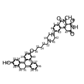 CN(C(=O)c1ccc(N2CCN(CCCCCOc3ccc([C@@H]4c5ccc(O)cc5CC[C@@H]4c4ccccc4)cc3)CC2)cc1)[C@@H]1CCC(=O)NC1=O